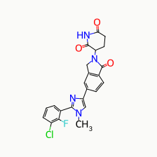 Cn1cc(-c2ccc3c(c2)CN(C2CCC(=O)NC2=O)C3=O)nc1-c1cccc(Cl)c1F